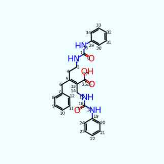 O=C(NCCC(Cc1ccccc1)=C(CNC(=O)Nc1ccccc1)C(=O)O)Nc1ccccc1